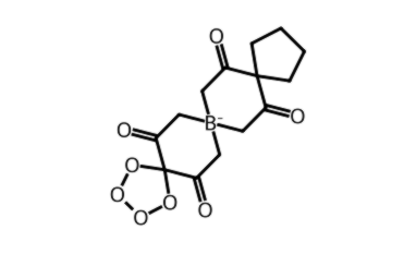 O=C1C[B-]2(CC(=O)C13CCCC3)CC(=O)C1(OOOO1)C(=O)C2